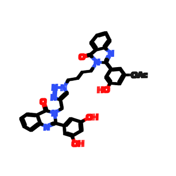 CC(=O)Oc1cc(O)cc(-c2nc3ccccc3c(=O)n2CCCCn2cc(Cn3c(-c4cc(O)cc(O)c4)nc4ccccc4c3=O)nn2)c1